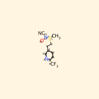 CS(CCc1ccc(C(F)(F)F)nc1)=[N+]([O-])C#N